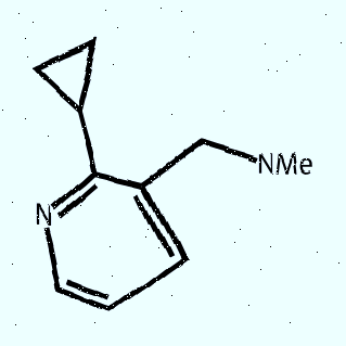 CNCc1cccnc1C1CC1